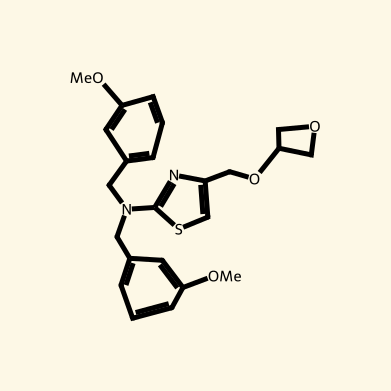 COc1cccc(CN(Cc2cccc(OC)c2)c2nc(COC3COC3)cs2)c1